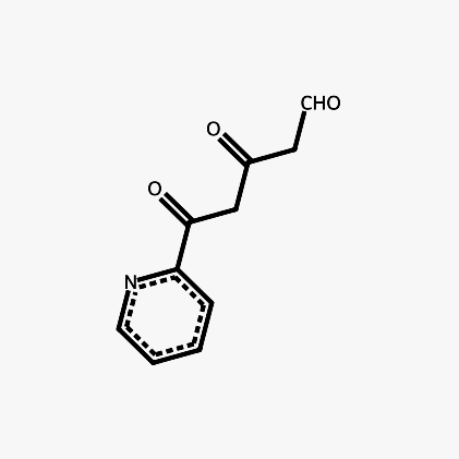 O=CCC(=O)CC(=O)c1ccccn1